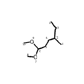 CC[C](C)CCC(OC)OC